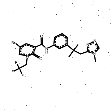 Cn1cnnc1CC(C)(C)c1cccc(NC(=O)c2cc(Br)cn(CC(F)(F)F)c2=O)c1